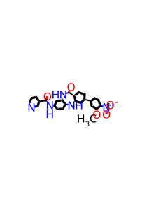 COc1cc(-c2ccc3c(c2)Nc2ccc(NC(=O)c4cccnc4)cc2NC3=O)ccc1[N+](=O)[O-]